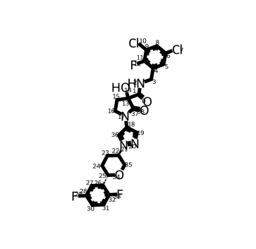 O=C(NCc1cc(Cl)cc(Cl)c1F)C1(O)CCN(c2cnn([C@@H]3CC[C@@H](c4cc(F)ccc4F)OC3)c2)C1=O